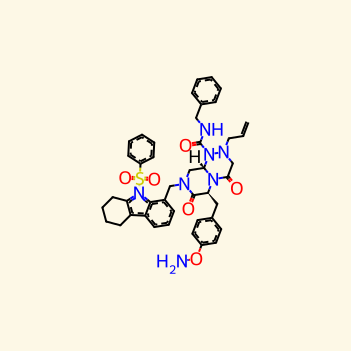 C=CCN1CC(=O)N2[C@@H](Cc3ccc(ON)cc3)C(=O)N(Cc3cccc4c5c(n(S(=O)(=O)c6ccccc6)c34)CCCC5)C[C@@H]2N1C(=O)NCc1ccccc1